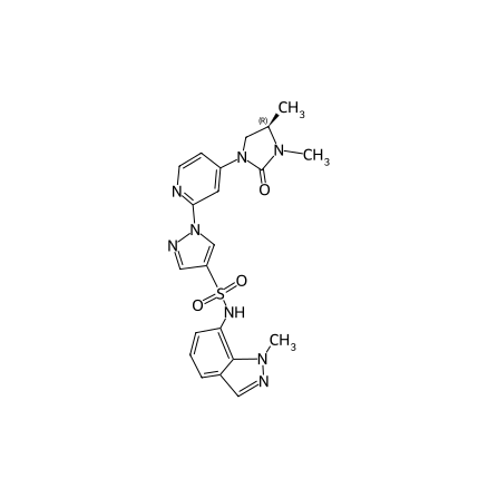 C[C@@H]1CN(c2ccnc(-n3cc(S(=O)(=O)Nc4cccc5cnn(C)c45)cn3)c2)C(=O)N1C